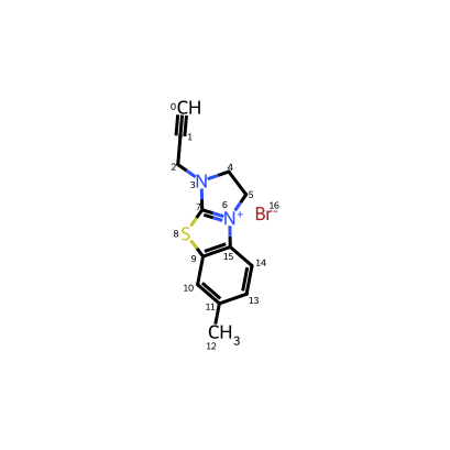 C#CCN1CC[n+]2c1sc1cc(C)ccc12.[Br-]